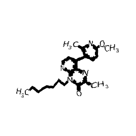 CCCCCCCn1c(=O)c(C)nc2c(-c3ccc(OC)nc3C)ccnc21